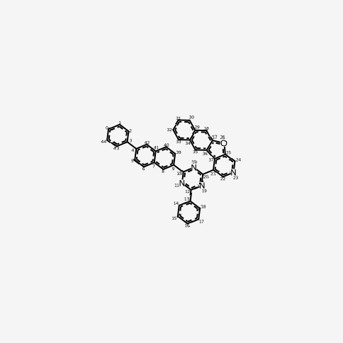 c1ccc(-c2ccc3cc(-c4nc(-c5ccccc5)nc(-c5cncc6oc7cc8ccccc8cc7c56)n4)ccc3c2)cc1